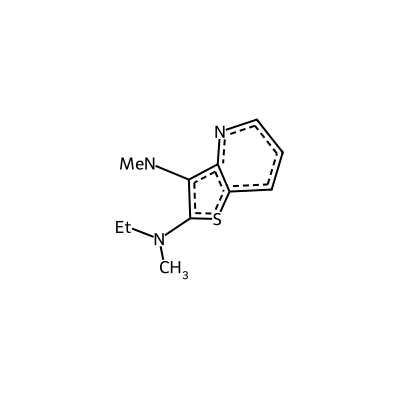 CCN(C)c1sc2cccnc2c1NC